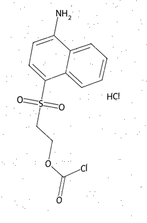 Cl.Nc1ccc(S(=O)(=O)CCOC(=O)Cl)c2ccccc12